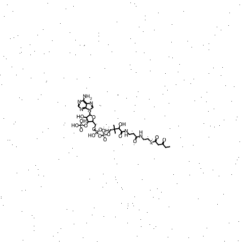 CCC(=O)CC(=O)SCCNC(=O)CCNC(=O)C(O)C(C)(C)COP(=O)(O)OP(=O)(O)OCC1OC(n2cnc3c(N)ncnc32)C(O)C1OP(=O)(O)O